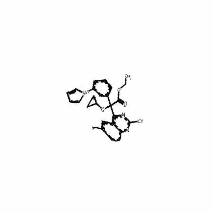 CCOC(=O)C(OC1CC1)(c1cccc([SH]2C=CC=C2)c1)c1nc(Cl)nc2ccc(I)cc12